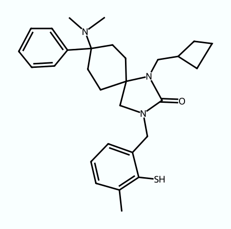 Cc1cccc(CN2CC3(CCC(c4ccccc4)(N(C)C)CC3)N(CC3CCC3)C2=O)c1S